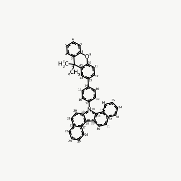 CC1(C)c2ccccc2Oc2ccc(-c3ccc(-n4c5ccc6ccccc6c5c5ccc6ccccc6c54)cc3)cc21